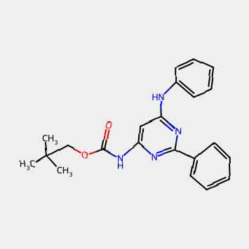 CC(C)(C)COC(=O)Nc1cc(Nc2ccccc2)nc(-c2ccccc2)n1